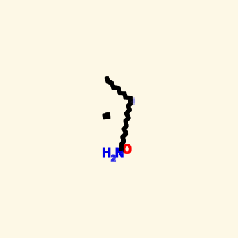 C=C.C=C.CCCCCCCC/C=C\CCCCCCCCCCCC(N)=O